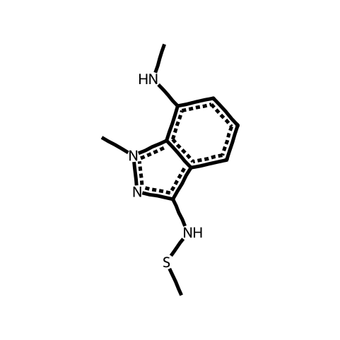 CNc1cccc2c(NSC)nn(C)c12